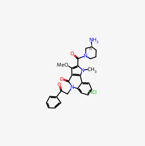 COc1c(C(=O)N2CCC[C@H](N)C2)n(C)c2c1c(=O)n(CC(=O)c1ccccc1)c1ccccc21.Cl